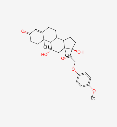 CCOc1ccc(OCC(=O)[C@@]2(O)CCC3C4CCC5=CC(=O)CCC5(C)C4[C@@H](O)CC32C)cc1